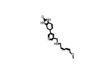 COC/C=C\C=C/CNCc1cncc(C2C=Cc3[nH]c(=O)[nH]c3C2)c1